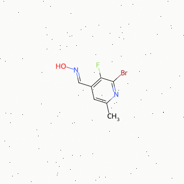 Cc1cc(C=NO)c(F)c(Br)n1